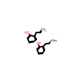 C=CCc1ccccc1O.CCCCCCCCCCCCc1ccccc1O